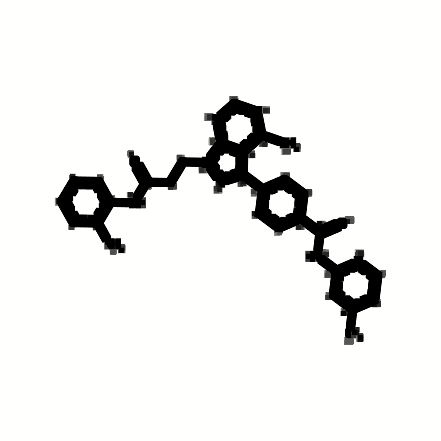 Nc1ccccc1NC(=O)CCn1nc(-c2ccc(C(=O)Nc3cc(C(F)(F)F)ccn3)cc2)c2c(N)ncnc21